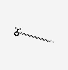 CCCCCCCCCCCCCCCCOc1ccccc1C([O])=O